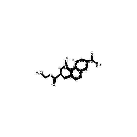 CCOC(=O)C1C=c2ccc3cc(C(N)=O)cnc3c2=[N+]([O-])C1